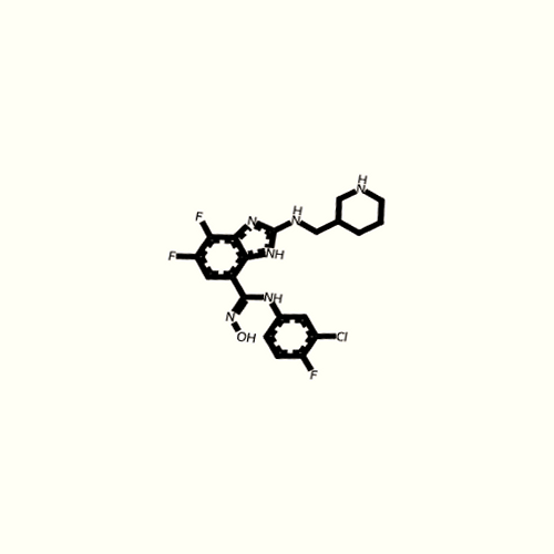 O/N=C(\Nc1ccc(F)c(Cl)c1)c1cc(F)c(F)c2nc(NCC3CCCNC3)[nH]c12